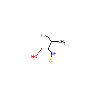 CC(C)[C@@H](CO)NS